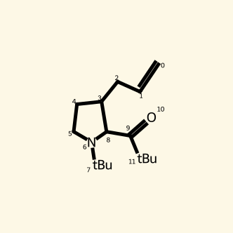 C=CCC1CCN(C(C)(C)C)C1C(=O)C(C)(C)C